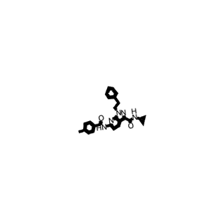 Cc1ccc(C(=O)Nc2ccc3c(C(=O)NC4CC4)nn(CCc4ccccc4)c3n2)cc1